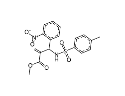 C=C(C(=O)OC)C(NS(=O)(=O)c1ccc(C)cc1)c1ccccc1[N+](=O)[O-]